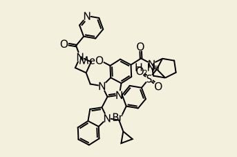 COc1cc(C(=O)N2CC3CCC2[C@]3(N)S(=O)(=O)c2ccc(Br)cc2)cc2nc(-c3cc4ccccc4n3CC3CC3)n(CC3CN(C(=O)c4cccnc4)C3)c12